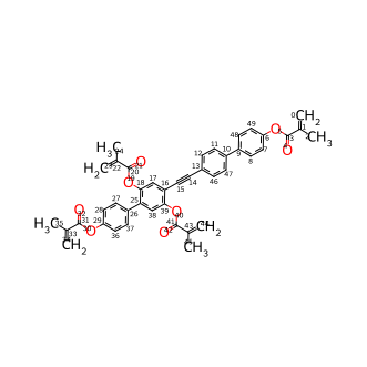 C=C(C)C(=O)Oc1ccc(-c2ccc(C#Cc3cc(OC(=O)C(=C)C)c(-c4ccc(OC(=O)C(=C)C)cc4)cc3OC(=O)C(=C)C)cc2)cc1